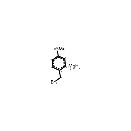 CSc1ccc(CBr)cc1.[MgH2]